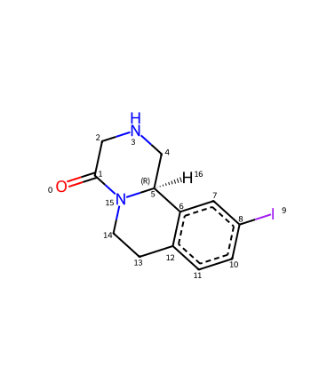 O=C1CNC[C@H]2c3cc(I)ccc3CCN12